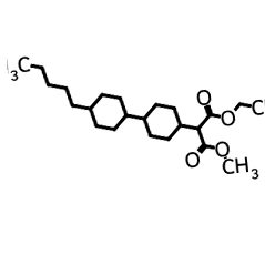 CCCCCC1CCC(C2CCC(C(C(=O)OC)C(=O)OCC)CC2)CC1